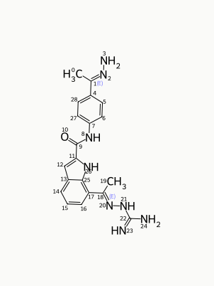 C/C(=N\N)c1ccc(NC(=O)c2cc3cccc(/C(C)=N/NC(=N)N)c3[nH]2)cc1